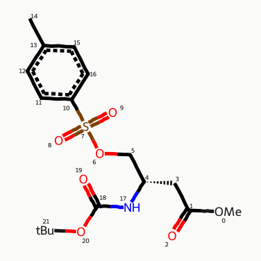 COC(=O)C[C@@H](COS(=O)(=O)c1ccc(C)cc1)NC(=O)OC(C)(C)C